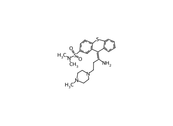 CN1CCN(CC/C(N)=C2/c3ccccc3Sc3ccc(S(=O)(=O)N(C)C)cc32)CC1